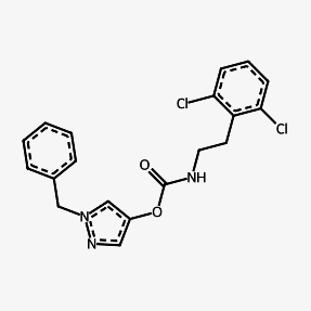 O=C(NCCc1c(Cl)cccc1Cl)Oc1cnn(Cc2ccccc2)c1